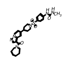 CNC(=O)Nc1ccc(S(=O)(=O)N2CCC(c3ccn4ncc(C(=O)N5CCCCCC5)c4c3)CC2)cc1